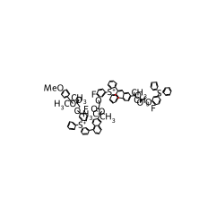 COc1ccc(C(C)(C)OC(=O)COc2cc([S+](c3ccccc3)c3cccc(-c4cccc5cc(C(C)(C)OC(=O)COc6cc([S+](c7ccccc7)c7ccccc7-c7ccc8ccc(C(C)(C)OC(=O)COc9cc([S+](c%10ccccc%10)c%10ccccc%10)ccc9F)cc8c7)ccc6F)ccc45)c3)ccc2F)cc1